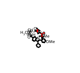 COC(=O)N1CC23COCC2(C1)CN(C(=O)C1(Cn2c(-c4ccc(OC)cc4)c(C4CCCCC4)c4ccc(C(=O)NS(=O)(=O)N(C)C)cc42)CC1)C3